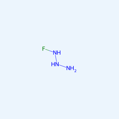 NNNF